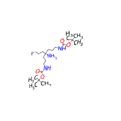 CC(C)(C)OC(=O)NCCCC(N)(CCCI)CCCNC(=O)OC(C)(C)C